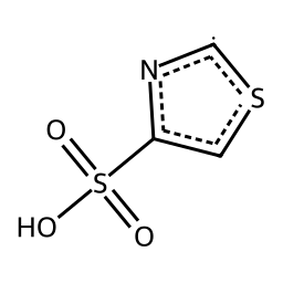 O=S(=O)(O)c1cs[c]n1